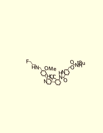 COc1cc(-c2nccc(-c3cccc(NC(=O)c4ccc(COC(=O)NC(C)(C)C)cn4)c3C)c2Cl)ccc1CNCCCF